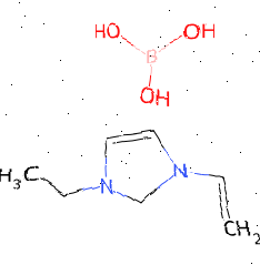 C=CN1C=CN(CC)C1.OB(O)O